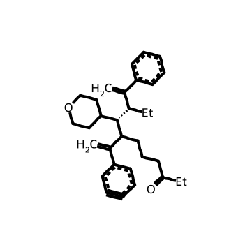 C=C(c1ccccc1)C(CC)[C@@H](C1CCOCC1)C(CCCC(=O)CC)C(=C)c1cc#ccc1